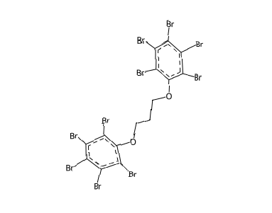 Brc1c(Br)c(Br)c(OCCCOc2c(Br)c(Br)c(Br)c(Br)c2Br)c(Br)c1Br